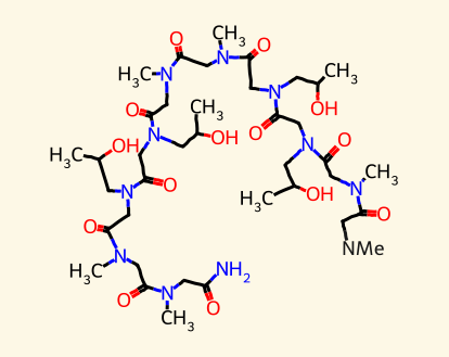 CNCC(=O)N(C)CC(=O)N(CC(=O)N(CC(=O)N(C)CC(=O)N(C)CC(=O)N(CC(=O)N(CC(=O)N(C)CC(=O)N(C)CC(N)=O)CC(C)O)CC(C)O)CC(C)O)CC(C)O